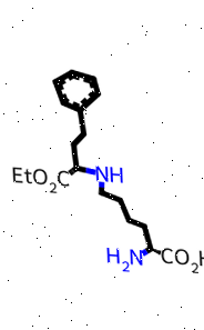 CCOC(=O)C(CCc1ccccc1)NCCCC[C@H](N)C(=O)O